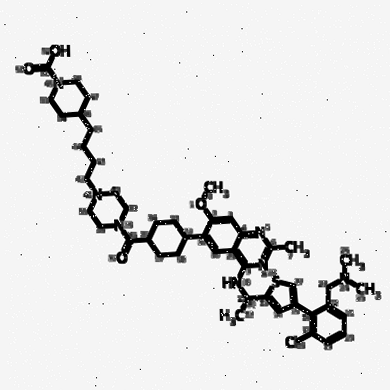 COc1cc2nc(C)nc(N[C@H](C)c3cc(-c4c(Cl)cccc4CN(C)C)cs3)c2cc1C1CCC(C(=O)N2CCN(CCCCC3CCN(C(=O)O)CC3)CC2)CC1